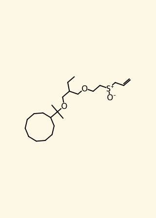 C=CC[S+]([O-])CCOCC(CC)COC(C)(C)C1CCCCCCCCC1